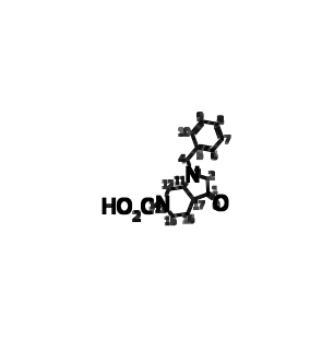 O=C1CN(Cc2ccccc2)C2CN(C(=O)O)CCC12